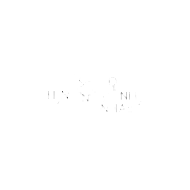 CC(=O)NC(C(N)=O)c1csc(N)n1